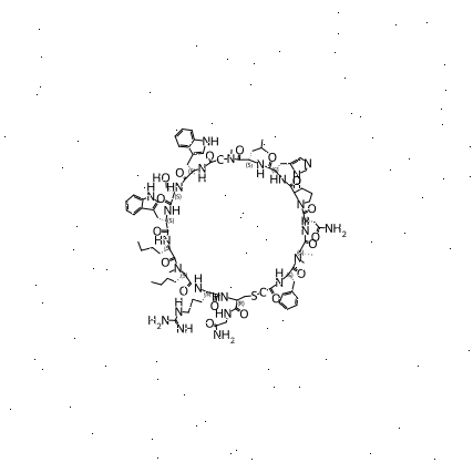 CCCC[C@@H]1NC(=O)[C@H](Cc2c[nH]c3ccccc23)NC(=O)[C@H](CO)NC(=O)[C@H](Cc2c[nH]c3ccccc23)NC(=O)CN(C)C(=O)[C@H](CC(C)C)NC(=O)[C@H](Cc2cnc[nH]2)NC(=O)C2CCCN2C(=O)[C@H](CC(N)=O)NC(=O)[C@H](C)N(C)C(=O)[C@H](Cc2ccccc2)NC(=O)CSC[C@@H](C(=O)NCC(N)=O)NC(=O)[C@H](CCCNC(=N)N)NC(=O)[C@H](CCCC)N(C)C1=O